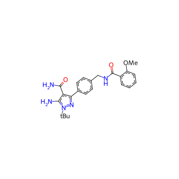 COc1ccccc1C(=O)NCc1ccc(-c2nn(C(C)(C)C)c(N)c2C(N)=O)cc1